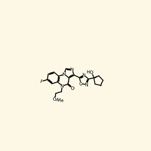 COCCn1c(=O)c2c(-c3nc(C4(O)CCCC4)no3)ncn2c2ccc(F)cc21